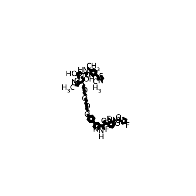 Cc1cc([C@H](CCOCCOCCOCCOc2ccc(-c3cnc4[nH]cc(C(=O)c5c(F)ccc(NS(=O)(=O)N6CC[C@@H](F)C6)c5F)c4c3)cc2)C(O)N2C[C@H](O)C[C@H]2C(=O)N[C@@H](C)c2ccc(-c3scnc3C)cc2)on1